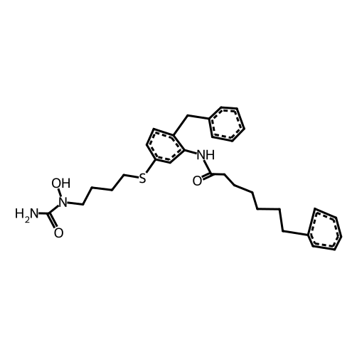 NC(=O)N(O)CCCCSc1ccc(Cc2ccccc2)c(NC(=O)CCCCCCc2ccccc2)c1